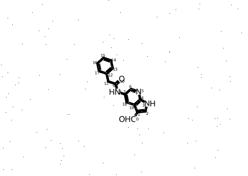 O=Cc1c[nH]c2ncc(NC(=O)Cc3ccccc3)cc12